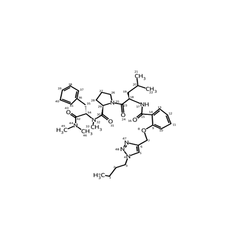 CCCCn1cc(COc2ccccc2C(=O)N[C@H](CC(C)C)C(=O)N2CCC[C@@H]2C(=O)N(C)[C@@H](Cc2ccccc2)C(=O)N(C)C)nn1